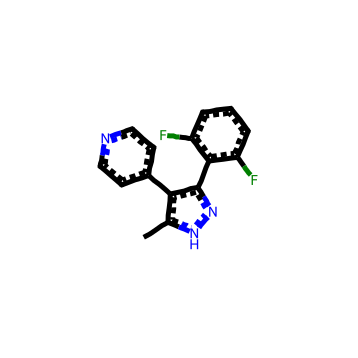 Cc1[nH]nc(-c2c(F)cccc2F)c1-c1ccncc1